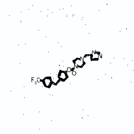 O=C(Oc1ccc(Cc2ccc(C(F)(F)F)cc2)cc1)N1CCN(Cc2ccncn2)CC1